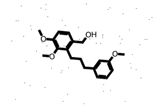 COc1cccc(CCCc2c(CO)ccc(OC)c2OC)c1